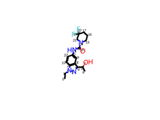 CCn1nc(C(C)O)c2cc(NC(=O)N3CCCC(F)(F)C3)ccc21